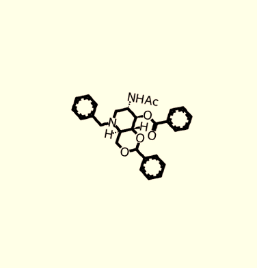 CC(=O)N[C@H]1CN(Cc2ccccc2)[C@@H]2COC(c3ccccc3)O[C@H]2[C@@H]1OC(=O)c1ccccc1